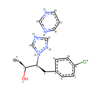 CC(C)(C)[C@H](O)[C@H](Cc1ccc(Cl)cc1)n1cncn1.c1cncnc1